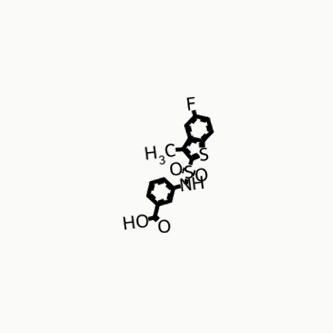 Cc1c(S(=O)(=O)Nc2cccc(C(=O)O)c2)sc2ccc(F)cc12